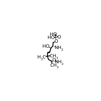 CC(CC(C)(C)/C=C/[C@@H](O)[C@@H](N)COP(=O)(O)O)ON